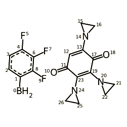 Bc1ccc(F)c(F)c1F.O=C1C=C(N2CC2)C(=O)C(N2CC2)=C1N1CC1